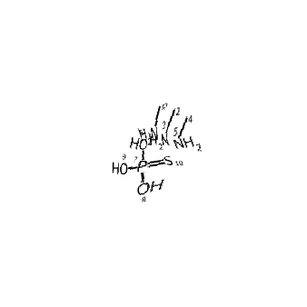 CN.CN.CN.OP(O)(O)=S